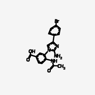 CC(=O)Nc1ccc(C(=O)O)cc1-n1cc(-c2ccc(Br)cc2)nc1N